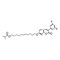 CC(C)C(=O)OCCCCCCCCCCCOc1ccc2cc(-c3cc(F)cc(F)c3)c(=O)oc2n1